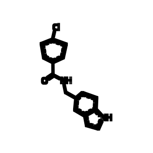 O=C(NCc1ccc2[nH]ccc2c1)c1ccc(Cl)cc1